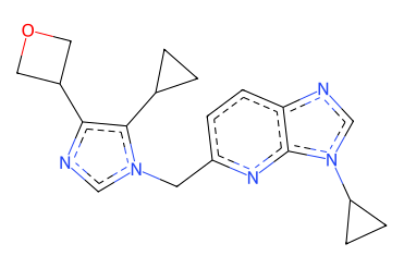 c1cc2ncn(C3CC3)c2nc1Cn1cnc(C2COC2)c1C1CC1